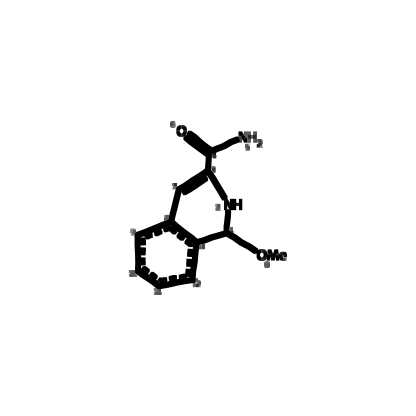 COC1NC(C(N)=O)=Cc2ccc[c]c21